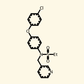 CCS(=O)(=O)N(Cc1cccnc1)c1ccc(Oc2ccc(Cl)cc2)cc1